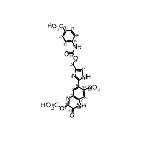 O=C(O)Oc1nc2cc(-c3nc(COC(=O)Nc4ccc(C(=O)O)cc4)c[nH]3)c([N+](=O)[O-])cc2[nH]c1=O